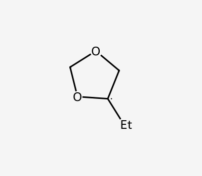 CC[C]1COCO1